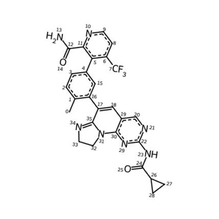 Cc1ccc(-c2c(C(F)(F)F)ccnc2C(N)=O)cc1C1=Cc2cnc(NC(=O)C3CC3)nc2N2CCN=C12